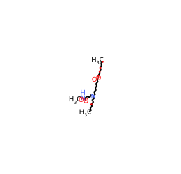 CCCCCCCCCOC(=O)CCCCCCCN(CCCCCCCC)CCCC(=O)NOC